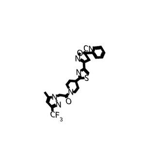 Cc1cc(C(F)(F)F)nn1CC(=O)N1CCC(c2nc(C3=NOC(C#N)(c4ccccc4)C3)cs2)CC1